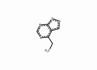 CCc1ncnc2sncc12